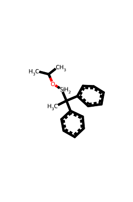 CC(C)O[SiH2]C(C)(c1ccccc1)c1ccccc1